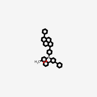 Cc1ccc(N(c2ccc(-c3ccc4ccc5c(-c6ccccc6)ccc6ccc3c4c65)cc2)c2ccc(-c3ccccc3)cc2-c2ccccc2)cc1